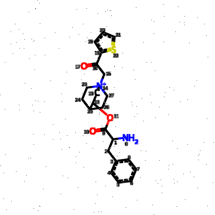 NC(Cc1ccccc1)C(=O)OC1C[N+]2(CC(=O)c3cccs3)CCC1CC2